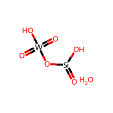 O.O=[Si](O)[O][W](=[O])(=[O])[OH]